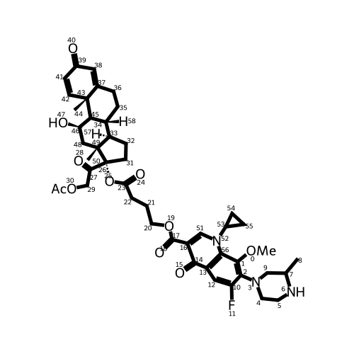 COc1c(N2CCNC(C)C2)c(F)cc2c(=O)c(C(=O)OCCCC(=O)O[C@@]3(C(=O)COC(C)=O)CC[C@@H]4[C@H]5CCC6=CC(=O)C=C[C@@]6(C)C5[C@H](O)C[C@]43C)cn(C3CC3)c12